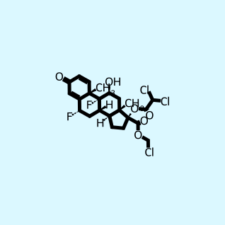 C[C@]12C=CC(=O)C=C1[C@@H](F)C[C@H]1[C@@H]3CC[C@](OC(=O)C(Cl)Cl)(C(=O)OCCl)[C@@]3(C)C[C@H](O)[C@@]12F